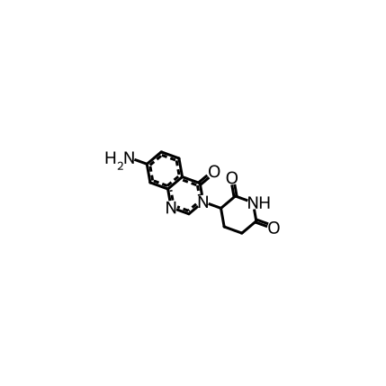 Nc1ccc2c(=O)n(C3CCC(=O)NC3=O)cnc2c1